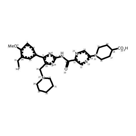 COc1ccc(-c2nc(NC(=O)c3cnc(N4CCC(C(=O)O)CC4)cn3)sc2CN2CCCCC2)cc1CF